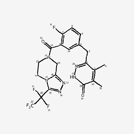 Cc1c(Cc2ccc(F)c(C(=O)N3CCn4c(nnc4C(F)(F)C(F)(F)F)C3)c2)n[nH]c(=O)c1C